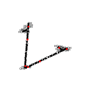 O=C[C@H](CCCNC(=O)CCOCCOCCOCCOCCOCCOCCOCCOCCOCCOCCOCCOCCN(C[C@H](O)[C@@H](O)[C@H](O)[C@H](O)CO)C[C@H](O)[C@@H](O)[C@H](O)[C@H](O)CO)NC(=O)CCOCCOCCOCCOCCOCCOCCOCCOCCOCCOCCOCCOCCN(C[C@H](O)[C@@H](O)[C@H](O)[C@H](O)CO)C[C@H](O)[C@@H](O)[C@H](O)[C@H](O)CO